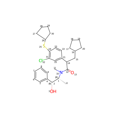 C[C@H]([C@H](O)c1ccccc1)N(C)C(=O)C(CC1CCCC1)c1ccc(SC2CCCC2)c(Cl)c1